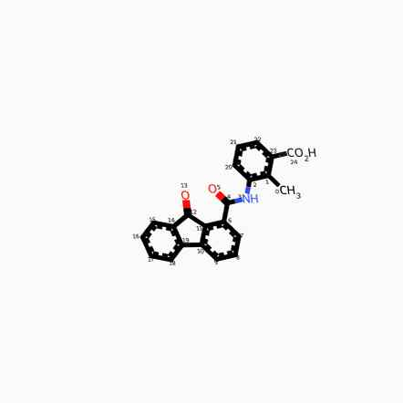 Cc1c(NC(=O)c2cccc3c2C(=O)c2ccccc2-3)cccc1C(=O)O